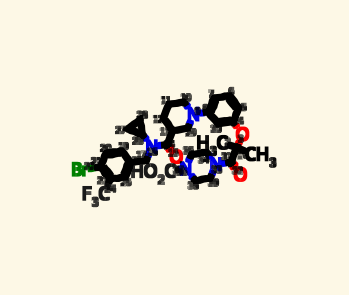 CC(C)(Oc1cccc(N2CCCC(C(=O)N(Cc3ccc(Br)c(C(F)(F)F)c3)C3CC3)C2)c1)C(=O)N1CCN(C(=O)O)CC1